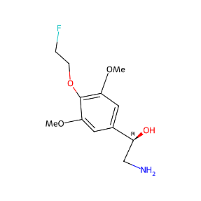 COc1cc([C@@H](O)CN)cc(OC)c1OCCF